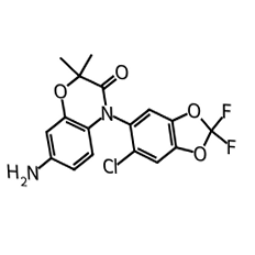 CC1(C)Oc2cc(N)ccc2N(c2cc3c(cc2Cl)OC(F)(F)O3)C1=O